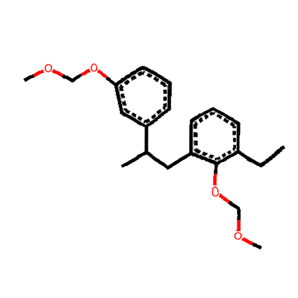 CCc1cccc(CC(C)c2cccc(OCOC)c2)c1OCOC